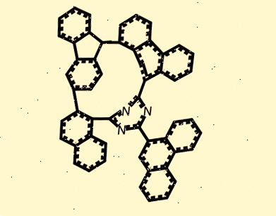 CC12c3ccccc3-c3cc(ccc31)-c1ccc3ccccc3c1-c1nc(-c3cc4ccccc4c4ccccc34)nc(n1)-c1cc3c2cccc3c2ccccc12